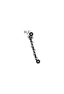 Cc1cccc(S(=O)(=O)OCCOCCOCCOCCOCCOCc2ccccc2)c1